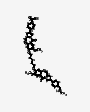 CNCc1ccc(C2=CN3C(=O)c4cc(OC)c(OCCCCCOc5cc6c(cc5OC)C(=O)N5C=C(c7ccc(C(=O)O)cc7)CC5C=N6)cc4N=CC3C2)cc1